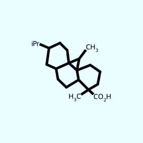 CC(C)C1CCC23C(CCC4C(C)(C(=O)O)CCCC42C3C)C1